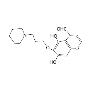 O=CC1C=COc2cc(O)c(OCCCN3CCCCC3)c(O)c21